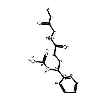 CCC(=O)CNC(=O)CCC(OC(N)=O)c1ccccc1